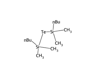 CCCC[Si](C)(C)[Te][Si](C)(C)CCCC